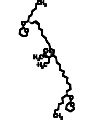 [CH2]CC(C(CCCCCCCC/C=C\C[C@@H](CCCCCC)OC1CCCCO1)CCCCCCCC/C=C\C[C@@H](CCCCCC)OC1CCCCO1)N(C)C